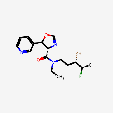 CCN(CC[C@H](S)[C@@H](C)F)C(=O)[C@H]1N=CO[C@@H]1c1cccnc1